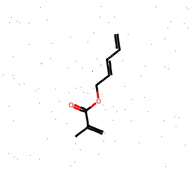 C=CC=CCOC(=O)C(=C)C